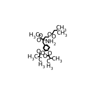 COC(=O)[C@@](N)(CCOC(=O)CC(C)C)Cc1ccc(OC(=O)C(C)C)c(OC(=O)C(C)C)c1